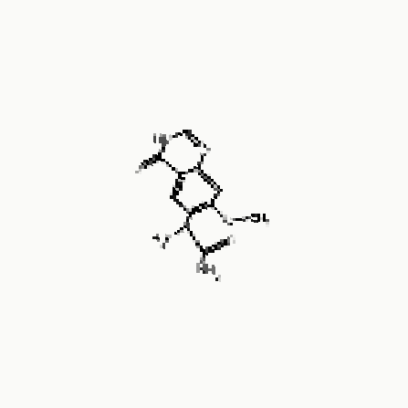 COc1cc2nc[nH]c(=O)c2cc1C(C)C(N)=O